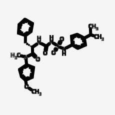 COc1ccc(N(C)C(=O)[C@H](Cc2ccccc2)NC(=O)NS(=O)(=O)Nc2ccc(C(C)C)cc2)cc1